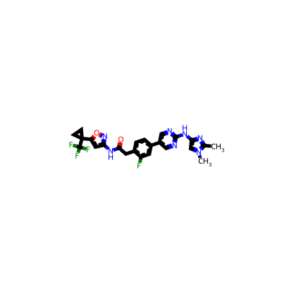 Cc1nc(Nc2ncc(-c3ccc(CC(=O)Nc4cc(C5(C(F)(F)F)CC5)on4)c(F)c3)cn2)cn1C